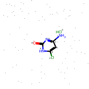 Cl.Nc1cc(Cl)[nH]c(=O)n1